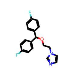 Fc1ccc(C(OCCn2ccnc2)c2ccc(F)cc2)cc1